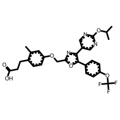 Cc1cc(OCc2nc(-c3cnc(OC(C)C)nc3)c(-c3ccc(OC(F)(F)F)cc3)o2)ccc1CCC(=O)O